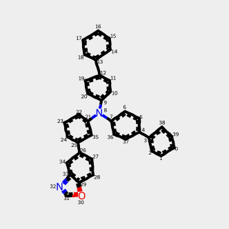 c1ccc(-c2ccc(N(c3ccc(-c4ccccc4)cc3)c3cccc(-c4ccc5ocnc5c4)c3)cc2)cc1